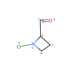 O=CC1CCN1Cl